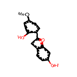 COc1ccc(-c2cc3ccc(O)cc3o2)c(O)c1